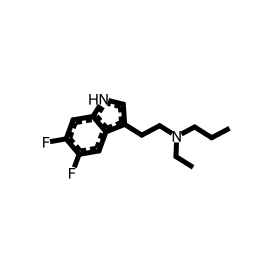 CCCN(CC)CCc1c[nH]c2cc(F)c(F)cc12